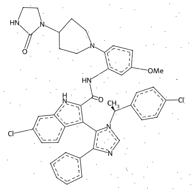 COc1ccc(N2CCC(N3CCNC3=O)CC2)c(NC(=O)c2[nH]c3cc(Cl)ccc3c2-c2c(-c3ccccc3)ncn2[C@@H](C)c2ccc(Cl)cc2)c1